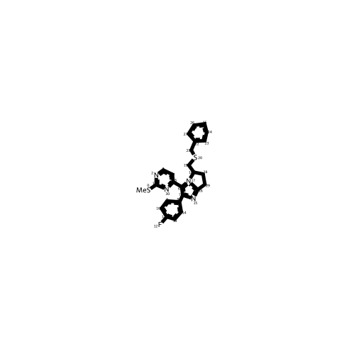 CSc1nccc(-c2c(-c3ccc(F)cc3)nc3n2C(CSCc2ccccc2)CC3)n1